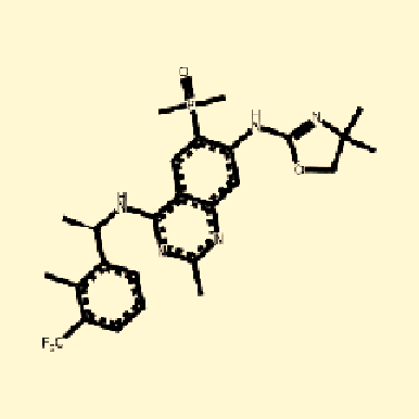 Cc1nc(N[C@H](C)c2cccc(C(F)(F)F)c2C)c2cc(P(C)(C)=O)c(NC3=NC(C)(C)CO3)cc2n1